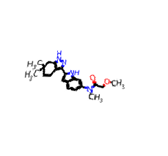 COCC(=O)N(C)c1ccc2cc(-c3n[nH]c4c3CCC(C)(C)C4)[nH]c2c1